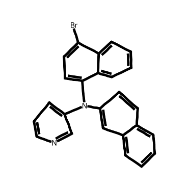 Brc1ccc(N(c2cccnc2)c2ccc3ccccc3c2)c2ccccc12